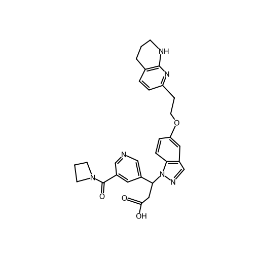 O=C(O)CC(c1cncc(C(=O)N2CCC2)c1)n1ncc2cc(OCCc3ccc4c(n3)NCCC4)ccc21